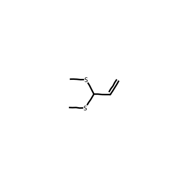 C=CC(SC)SC